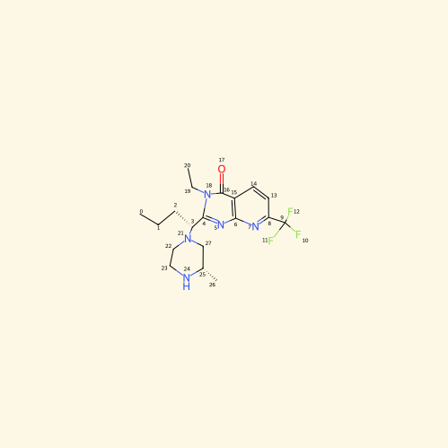 CCC[C@H](c1nc2nc(C(F)(F)F)ccc2c(=O)n1CC)N1CCN[C@@H](C)C1